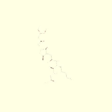 C=C/C(=C\C)CC(=O)N[C@H]1CC(=C)N(CC(=O)N[C@@H](CCCCN)C(=O)NCC(=O)O)C1=O